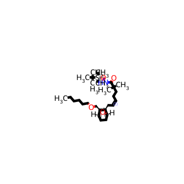 CCCCCCOC[C@H]1[C@@H](C/C=C\CCC(C)(C)C(=O)NO[Si](C)(C)C(C)(C)C)[C@H]2CC[C@@H]1O2